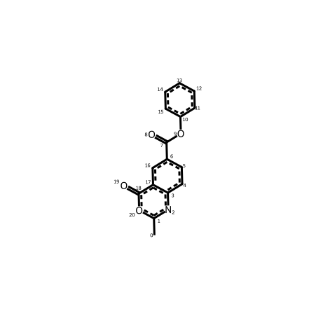 Cc1nc2ccc(C(=O)Oc3ccccc3)cc2c(=O)o1